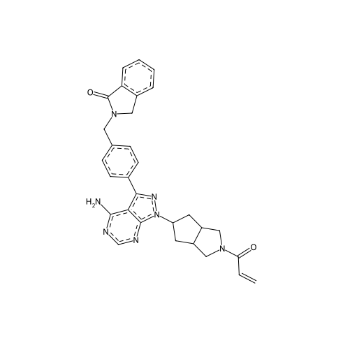 C=CC(=O)N1CC2CC(n3nc(-c4ccc(CN5Cc6ccccc6C5=O)cc4)c4c(N)ncnc43)CC2C1